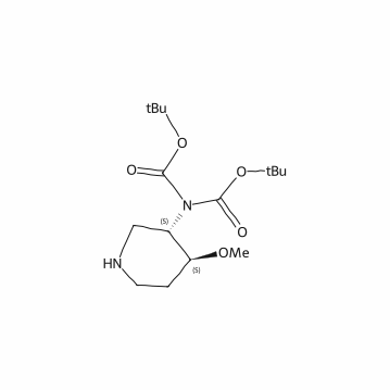 CO[C@H]1CCNC[C@@H]1N(C(=O)OC(C)(C)C)C(=O)OC(C)(C)C